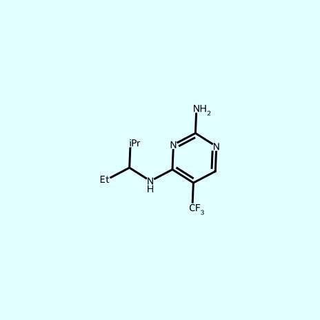 CCC(Nc1nc(N)ncc1C(F)(F)F)C(C)C